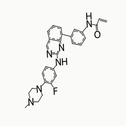 C=CC(=O)Nc1cccc(-c2cccc3cnc(Nc4ccc(N5CCN(C)CC5)c(F)c4)nc23)c1